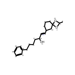 CC1OC2(CCCC(/C=C/C(O)CCCCc3ccccc3)C2)O1